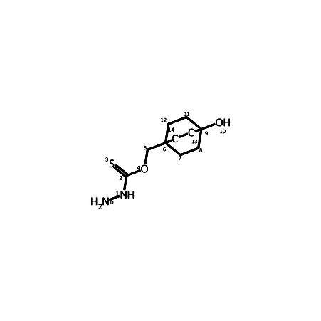 NNC(=S)OCC12CCC(O)(CC1)CC2